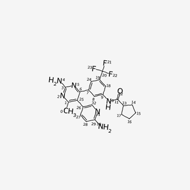 Cc1nc(N)nc(-c2cc(NC(=O)C3CCCC3)cc(C(F)(F)F)c2)c1-c1ccc(N)nc1